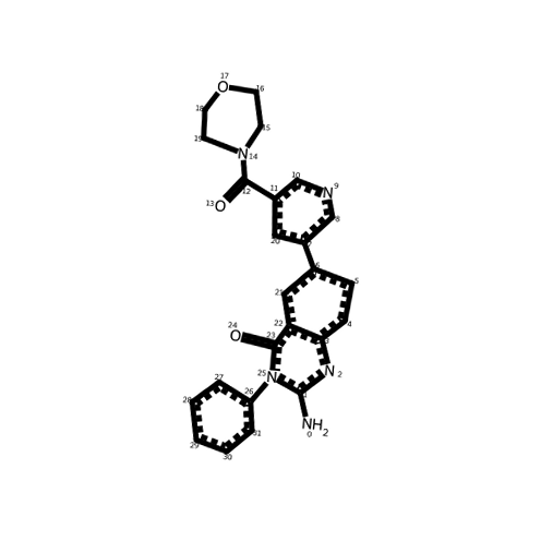 Nc1nc2ccc(-c3cncc(C(=O)N4CCOCC4)c3)cc2c(=O)n1-c1ccccc1